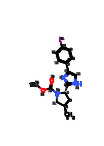 C[C@@H]1C[C@@H](c2nc(-c3ccc(I)cc3)c[nH]2)N(C(=O)OC(C)(C)C)C1